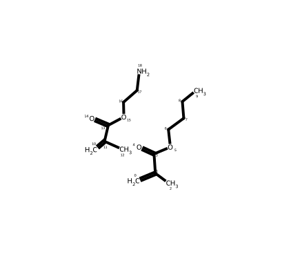 C=C(C)C(=O)OCCCC.C=C(C)C(=O)OCCN